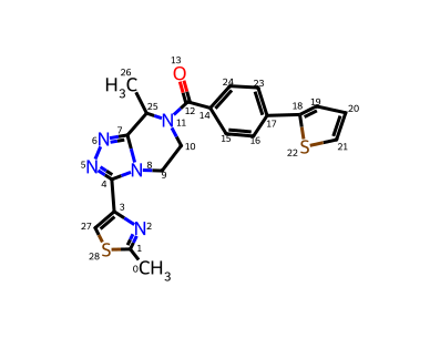 Cc1nc(-c2nnc3n2CCN(C(=O)c2ccc(-c4cccs4)cc2)C3C)cs1